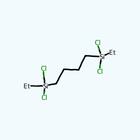 CC[Si](Cl)(Cl)CCCC[Si](Cl)(Cl)CC